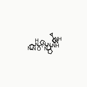 C[C@@]1(C(=O)Nc2ccncn2)CCCN1c1nc2c(c(Nc3cc(C4CC4)[nH]n3)n1)CCC2